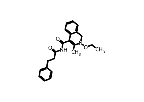 CCON1Cc2ccccc2C(C(=O)NC(=O)CCc2ccccc2)=C1C